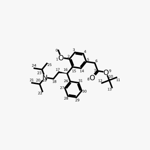 COc1ccc(CC(=O)OC(C)(C)C)cc1[C@H](CCN(C(C)C)C(C)C)c1ccccc1